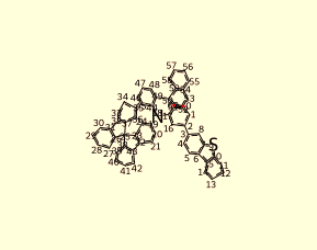 c1cc(-c2ccc3c(c2)sc2ccccc23)cc(N(c2ccc3c(c2)C2(c4ccccc4-c4ccccc42)c2ccccc2-3)c2ccccc2-c2cccc3ccccc23)c1